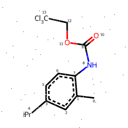 Cc1cc(C(C)C)ccc1NC(=O)OCC(Cl)(Cl)Cl